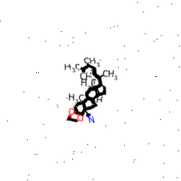 CC(C)[C@@H](C)/C=C/[C@@H](C)[C@H]1CC[C@H]2C3=C(CC[C@]12C)[C@@]1(C)CCC2(C[C@@]1(C#N)CC3)OCCO2